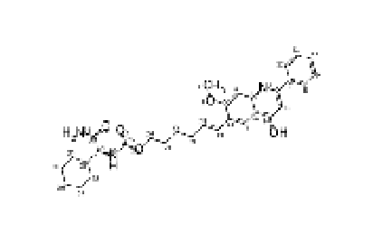 COc1cc2nc(-c3ccccc3)cc(O)c2cc1/C=C/CCCCOC(=O)N[C@H](C(N)=O)C1CCCCC1